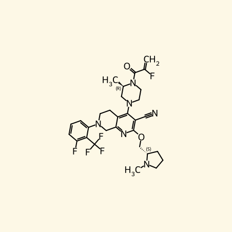 C=C(F)C(=O)N1CCN(c2c(C#N)c(OC[C@@H]3CCCN3C)nc3c2CCN(c2cccc(F)c2C(F)(F)F)C3)C[C@H]1C